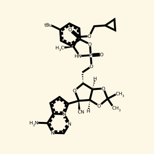 C[C@H](NP(=O)(OC[C@H]1O[C@@](C#N)(c2ccc3c(N)ncnn23)[C@@H]2OC(C)(C)O[C@@H]21)Oc1ccc(C(C)(C)C)cc1)C(=O)OCC1CC1